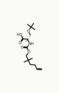 C=CCCC(C)(C)COC(=O)N[C@@H](COC(C)(C)C)C(=O)O